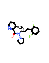 O=C(c1ncccc1C(F)(F)F)N(CCCc1c(F)cccc1F)N1CCCC1